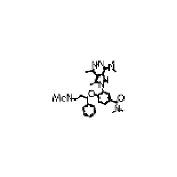 CNCCC(Oc1ccc(C(=O)N(C)C)cc1-n1nc2c(N(C)C)nnc(C)c2c1C)c1ccccc1